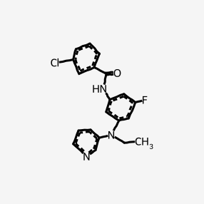 CCN(c1cccnc1)c1cc(F)cc(NC(=O)c2cccc(Cl)c2)c1